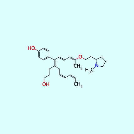 C/C=C\C=C/C\C(CCCO)=C(/C=C/C=C(\C)OCCC1CCCN1C)c1ccc(O)cc1